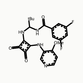 COc1ccncc1Nc1c(NC(NC(=O)c2cc(F)cc(F)c2)C(C)(C)C)c(=O)c1=O